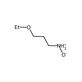 CCOCCC[NH2+][O-]